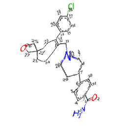 NC(=O)c1ccc(C2=CCN(CC3=C(c4ccc(Cl)cc4)CC4(CC3)COC4)CC2)cc1